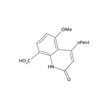 CCCCCc1cc(=O)[nH]c2c(C(=O)O)ccc(OC)c12